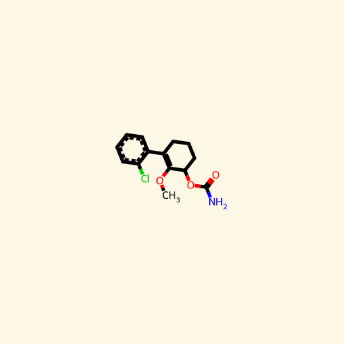 COC1=C(c2ccccc2Cl)CCCC1OC(N)=O